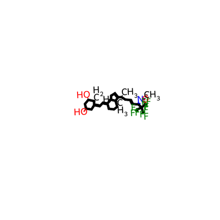 C=C1/C(=C\C=C2/CCC[C@]3(C)C([C@H](C)C/C=C/C(=NOC)C(C(F)(F)F)(C(F)(F)F)C(F)(F)F)=CC[C@@H]23)C[C@@H](O)C[C@@H]1O